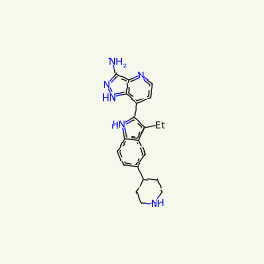 CCc1c(-c2ccnc3c(N)n[nH]c23)[nH]c2ccc(C3CCNCC3)cc12